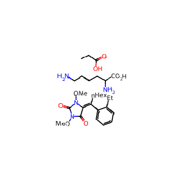 CCC(=O)O.CCCCCCC(=C1C(=O)N(OC)C(=O)N1OC)c1ccccc1CC.NCCCCC(N)C(=O)O